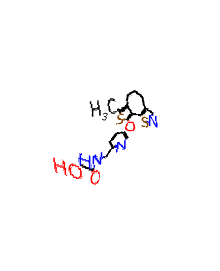 Cc1sc(Oc2ccc(CNC(=O)CO)nc2)c2c1CCCc1cnsc1-2